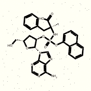 C[C@@](Cc1ccccc1)(NP(=O)(Oc1cccc2ccccc12)O[C@@H]1C[C@@H](CO)O[C@H]1n1cnc2c(N)ncnc21)C(=O)O